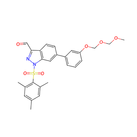 COCOCOc1cccc(-c2ccc3c(C=O)nn(S(=O)(=O)c4c(C)cc(C)cc4C)c3c2)c1